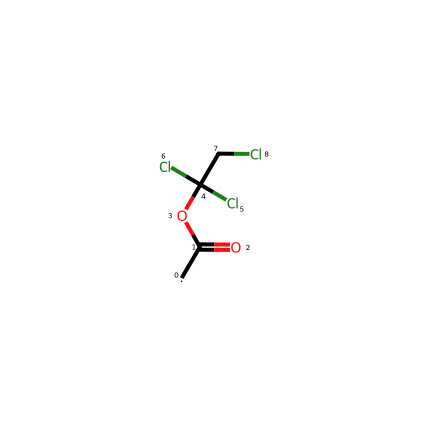 [CH2]C(=O)OC(Cl)(Cl)CCl